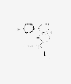 CCOP(=O)(OCC)C1CC[C@H]2CCC[C@@H](c3ccc(Cl)cc3)N2C1=O